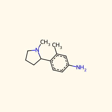 Cc1cc(N)ccc1C1CCCN1C